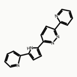 c1ccc(-c2ccc(-c3ccc(-c4ccccn4)[nH]3)nn2)nc1